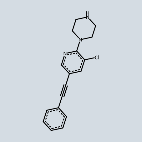 Clc1cc(C#Cc2ccccc2)cnc1N1CCNCC1